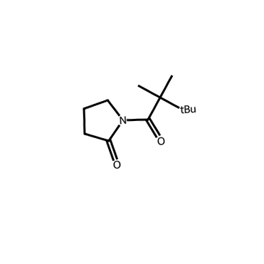 CC(C)(C)C(C)(C)C(=O)N1CCCC1=O